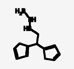 BBBCC(C1=CC=CC1)C1=CC=CC1